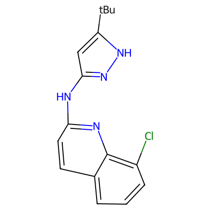 CC(C)(C)c1cc(Nc2ccc3cccc(Cl)c3n2)n[nH]1